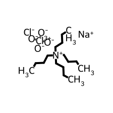 CCCC[N+](CCCC)(CCCC)CCCC.[Cl-].[Na+].[O-][Cl+3]([O-])([O-])[O-]